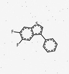 Fc1cc2scc(-c3ccccc3)c2cc1F